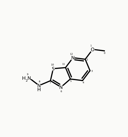 COc1ccc2nc(NN)sc2n1